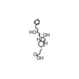 O=C(O)CCC[C@@H]1CC[C@@H]2[C@@H](C=C[C@@H](O)CCc3ccccc3)[C@H](O)C[C@@H]2S1